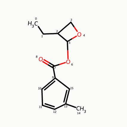 CCC1COC1OC(=O)c1cccc(C)c1